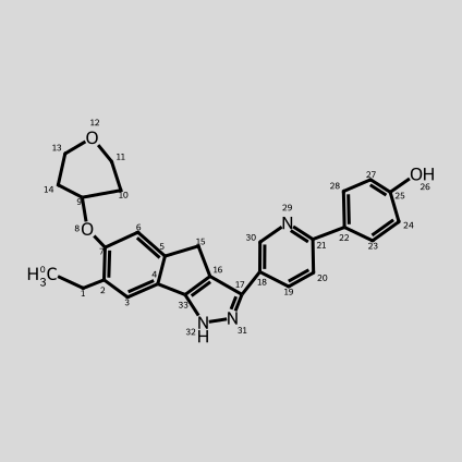 CCc1cc2c(cc1OC1CCOCC1)Cc1c(-c3ccc(-c4ccc(O)cc4)nc3)n[nH]c1-2